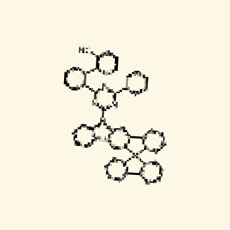 N#Cc1ccccc1-c1ccccc1-c1nc(-c2ccccc2)nc(-n2c3ccccc3c3cc4c(cc32)-c2ccccc2C42c3ccccc3-c3ccccc32)n1